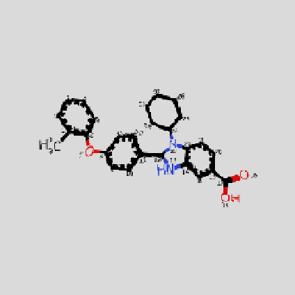 Cc1ccccc1Oc1ccc(C2Nc3cc(C(=O)O)ccc3N2C2CCCCC2)cc1